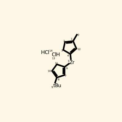 CC1=CC[C]([Zr][C]2=CC(C(C)(C)C)=CC2)=C1.Cl.Cl